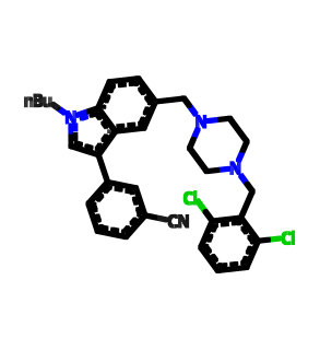 CCCCn1cc(-c2cccc(C#N)c2)c2cc(CN3CCN(Cc4c(Cl)cccc4Cl)CC3)ccc21